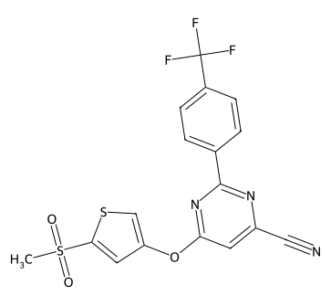 CS(=O)(=O)c1cc(Oc2cc(C#N)nc(-c3ccc(C(F)(F)F)cc3)n2)cs1